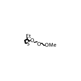 CCc1ccsc1OCCOCCOC